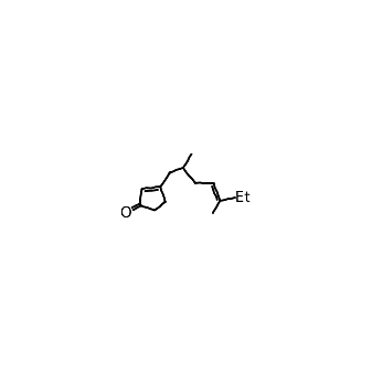 CCC(C)=CCC(C)CC1=CC(=O)CC1